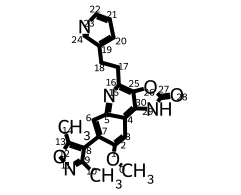 COc1cc2c(cc1-c1c(C)noc1C)nc(CCc1cccnc1)c1oc(=O)[nH]c12